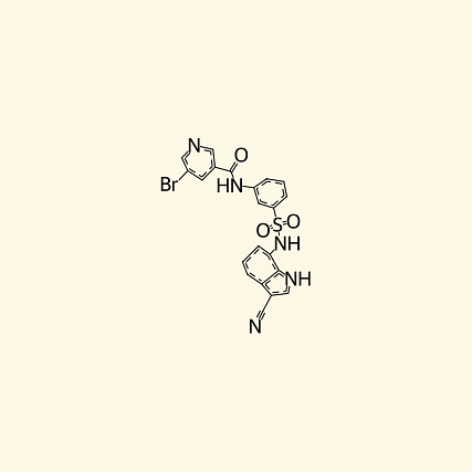 N#Cc1c[nH]c2c(NS(=O)(=O)c3cccc(NC(=O)c4cncc(Br)c4)c3)cccc12